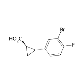 O=C(O)[C@@H]1C[C@H]1c1ccc(F)c(Br)c1